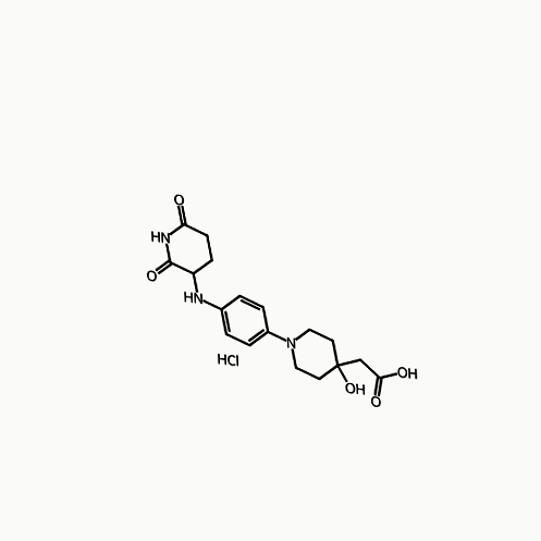 Cl.O=C(O)CC1(O)CCN(c2ccc(NC3CCC(=O)NC3=O)cc2)CC1